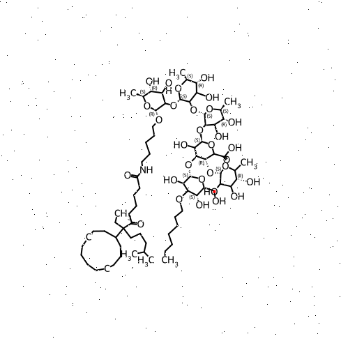 CCCCCCCOC1C(O)[C@H](OC2C(O)[C@@H](OC3C(O)[C@@H](O)[C@H](C)O[C@H]3OC3C(O)[C@@H](O)[C@H](C)O[C@H]3OC3C(O)[C@@H](O)[C@H](C)O[C@H]3OCCCCCNC(=O)CCCCC(=O)C(CC)(CCCC(C)C)C3CCCCCCCCCCC3)OC(C(=O)O)[C@@H]2O[C@@H]2OC(C)[C@H](O)C(O)C2O)OC(CO)[C@@H]1O